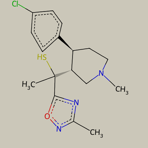 Cc1noc(C(C)(S)[C@H]2CN(C)CC[C@@H]2c2ccc(Cl)cc2)n1